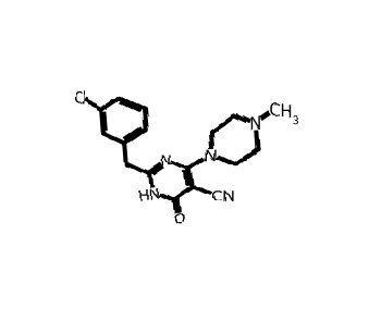 CN1CCN(c2nc(Cc3cccc(Cl)c3)[nH]c(=O)c2C#N)CC1